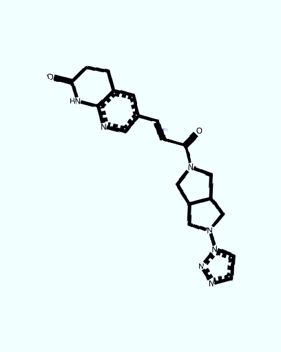 O=C1CCc2cc(/C=C/C(=O)N3CC4CN(n5ccnn5)CC4C3)cnc2N1